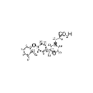 Cc1cccc(Oc2ccc(C3(C)CN(CCC(=O)O)CCO3)cc2)c1C